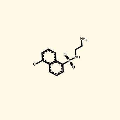 NCCNS(=O)(=O)c1cccc2c(Cl)cccc12